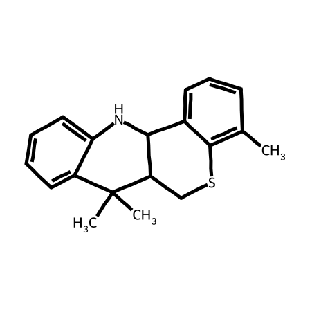 Cc1cccc2c1SCC1C2Nc2ccccc2C1(C)C